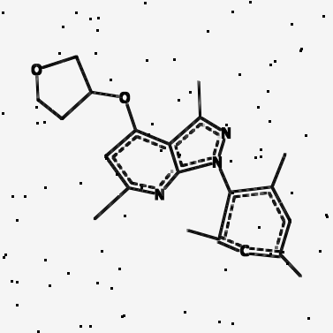 Cc1cc(C)c(-n2nc(C)c3c(OC4CCOC4)cc(C)nc32)c(C)c1